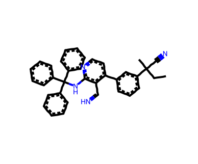 CCC(C)(C#N)c1cccc(-c2ccnc(NC(c3ccccc3)(c3ccccc3)c3ccccc3)c2C=N)c1